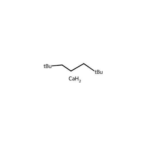 CC(C)(C)CCCC(C)(C)C.[CaH2]